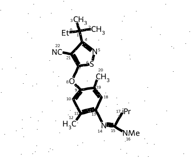 CCC(C)(C)c1nsc(Oc2cc(C)c(N=C(NC)C(C)C)cc2C)c1C#N